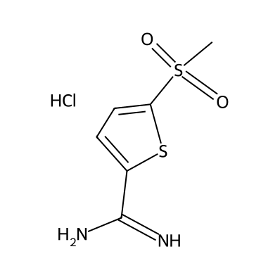 CS(=O)(=O)c1ccc(C(=N)N)s1.Cl